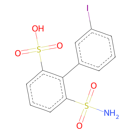 NS(=O)(=O)c1cccc(S(=O)(=O)O)c1-c1cccc(I)c1